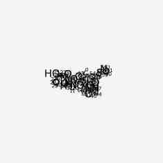 CC[C@H](C)[C@@H]([C@@H](CC(=O)N1CCC[C@H]1[C@H](OC)[C@@H](C)C(=O)N[C@H](C)[C@@H](O)c1ccccc1)OC)N(C)C(=O)[C@@H](NC(=O)[C@H](C(C)C)N(C)C(=O)O[C@H]1CCC[C@@H]1SSc1ccccn1)C(C)C